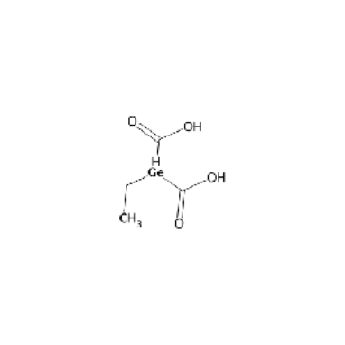 C[CH2][GeH]([C](=O)O)[C](=O)O